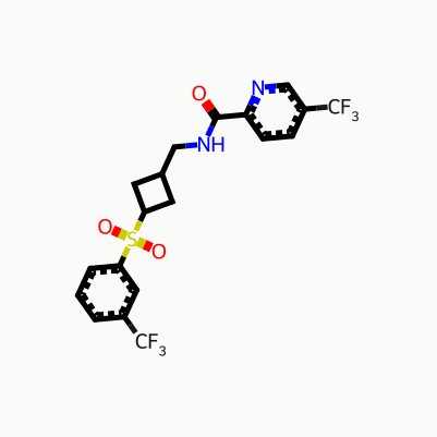 O=C(NCC1CC(S(=O)(=O)c2cccc(C(F)(F)F)c2)C1)c1ccc(C(F)(F)F)cn1